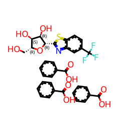 O=C(O)c1ccccc1.O=C(O)c1ccccc1.O=C(O)c1ccccc1.OC[C@H]1O[C@@H](c2nc3cc(C(F)(F)F)ccc3s2)[C@H](O)[C@@H]1O